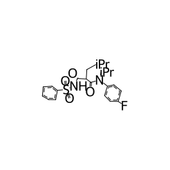 CC(C)CC(C(=O)NS(=O)(=O)c1ccccc1)C(=O)N(c1ccc(F)cc1)C(C)C